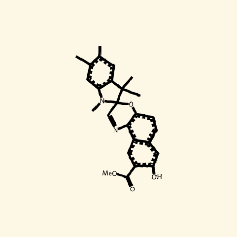 COC(=O)c1cc2c3c(ccc2cc1O)OC1(C=N3)N(C)c2cc(C)c(C)cc2C1(C)C